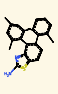 Cc1cc(C)c(-c2c(-c3c(C)cccc3C)ccc3sc(N)nc23)c(C)c1